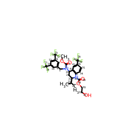 COC(=O)N(Cc1cc(C(F)(F)F)cc(C(F)(F)F)c1)C1CC(C(C)C)N(C(=O)OCCO)c2ccc(C(F)(F)F)cc21